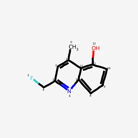 Cc1cc(CF)nc2cccc(O)c12